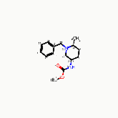 C[C@H]1CC[C@@H](NC(=O)OC(C)(C)C)CN1Cc1ccccc1